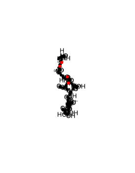 CN(CCCCCC(=O)NC(C(=O)O)N1CCN(COC=O)CCN(CCNC(=O)OCc2ccc(OC3OC(CO)C(O)C(O)C3O)cc2[N+](=O)[O-])CCN(CC(=O)O)CC1)C(=O)CCCCC1SCC2NC(=O)NC21